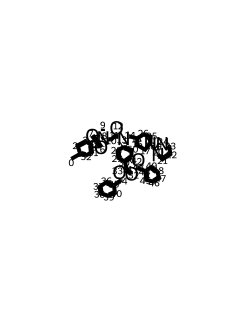 Cc1ccc(S(=O)(=O)N(C)CC(=O)N(CC2CCN(c3ncccn3)CC2)c2ccc(C(=O)OCc3ccccc3)c(OCc3ccccc3)c2)cc1